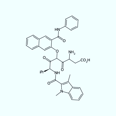 Cc1c(C(=O)N[C@H](C(=O)C(Oc2cc3ccccc3cc2C(=O)Nc2ccccc2)C(=O)C(N)CC(=O)O)C(C)C)n(C)c2ccccc12